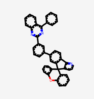 c1ccc(-c2nc(-c3cccc(-c4ccc5c(c4)C4(c6ccccc6Oc6ccccc64)c4cccnc4-5)c3)nc3ccccc23)cc1